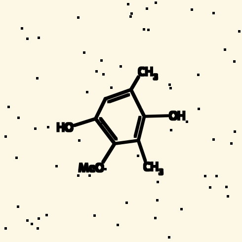 COc1c(O)cc(C)c(O)c1C